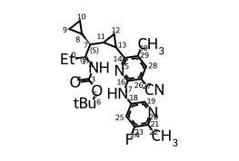 CC[C@H](NC(=O)OC(C)(C)C)[C@@H](C1CC1)C1CC1c1nc(Nc2cnc(C)c(F)c2)c(C#N)cc1C